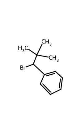 CC(C)(C)C(Br)c1ccccc1